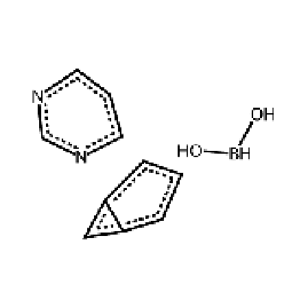 OBO.c1cc2cc-2c1.c1cncnc1